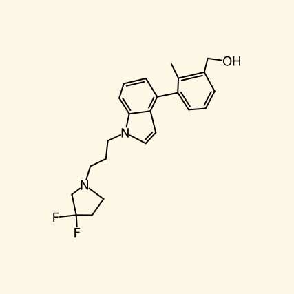 Cc1c(CO)cccc1-c1cccc2c1ccn2CCCN1CCC(F)(F)C1